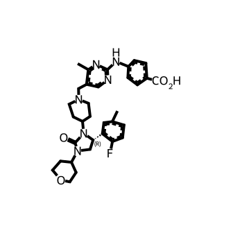 Cc1ccc(F)c([C@@H]2CN(C3CCOCC3)C(=O)N2C2CCN(Cc3cnc(Nc4ccc(C(=O)O)cc4)nc3C)CC2)c1